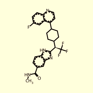 CNC(=O)c1ccc2[nH]c([C@@H](C3CCC(c4ccnc5ccc(F)cc45)CC3)C(F)(F)F)nc2c1